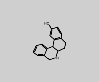 Oc1ccc2c(c1)C1c3ccccc3CNC1CC2